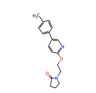 Cc1ccc(-c2ccc(OCCN3CCCC3=O)nc2)cc1